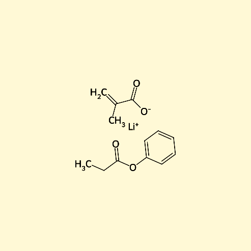 C=C(C)C(=O)[O-].CCC(=O)Oc1ccccc1.[Li+]